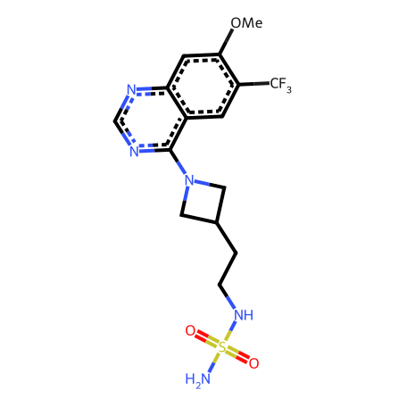 COc1cc2ncnc(N3CC(CCNS(N)(=O)=O)C3)c2cc1C(F)(F)F